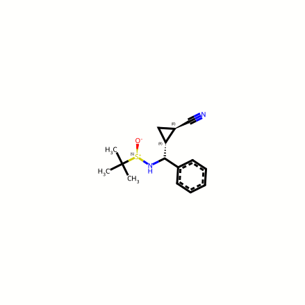 CC(C)(C)[S@@+]([O-])NC(c1ccccc1)[C@@H]1C[C@H]1C#N